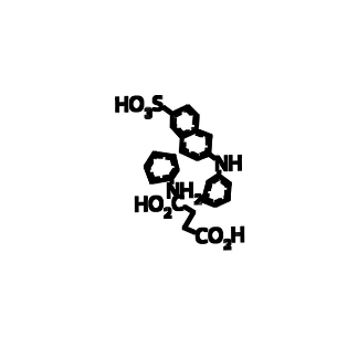 Nc1ccccc1.O=C(O)CCC(=O)O.O=S(=O)(O)c1ccc2cc(Nc3ccccc3)ccc2c1